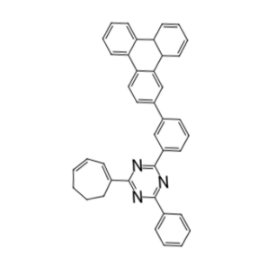 C1=CCCCC(c2nc(-c3ccccc3)nc(-c3cccc(-c4ccc5c(c4)C4C=CC=CC4c4ccccc4-5)c3)n2)=C1